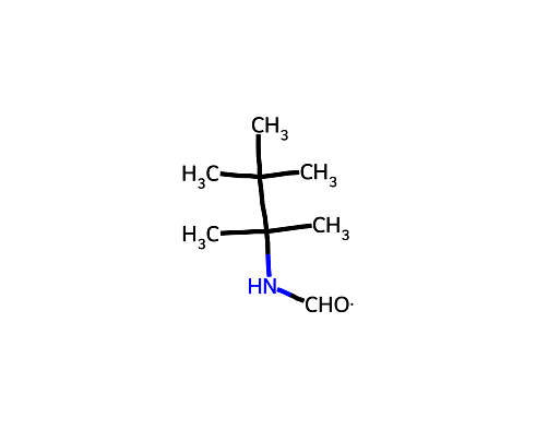 CC(C)(C)C(C)(C)N[C]=O